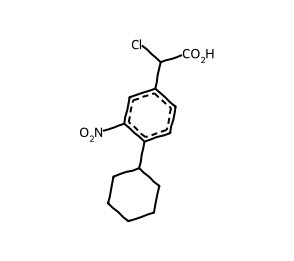 O=C(O)C(Cl)c1ccc(C2CCCCC2)c([N+](=O)[O-])c1